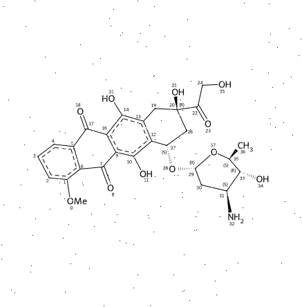 COc1cccc2c1C(=O)c1c(O)c3c(c(O)c1C2=O)C[C@](O)(C(=O)CO)C[C@@H]3O[C@H]1C[C@H](N)[C@@H](O)[C@H](C)O1